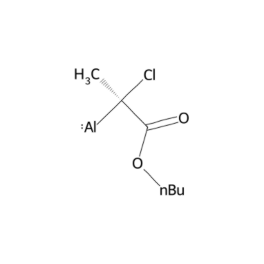 CCCCOC(=O)[C@@](C)([Al])Cl